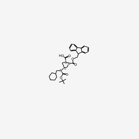 CC(C)(C)OC(=O)N(CC1CCCCC1)[C@H]1C[C@@H](C(=O)O)N(C(=O)OCC2c3ccccc3-c3ccccc32)C1